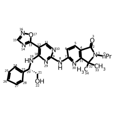 CCCN1C(=O)c2ccc(Nc3ncc(-c4ncno4)c(N[C@H](CO)c4ccccc4)n3)nc2C1(C)C